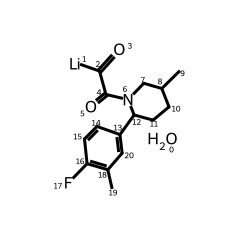 O.[Li][C](=O)C(=O)N1CC(C)CCC1c1ccc(F)c(C)c1